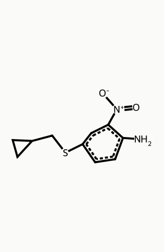 Nc1ccc(SCC2CC2)cc1[N+](=O)[O-]